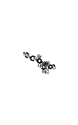 COc1cc(N2CCC(N3CCN(C)CC3)CC2)c(Br)cc1Nc1ncc(Br)c(Nc2cc3c(cc2NS(C)(=O)=O)CCO3)n1